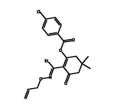 C=CCON=C(CC)C1=C(OC(=O)c2ccc(Cl)cc2)CC(C)(C)CC1=O